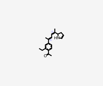 CCc1cc(/C(C)=C/C=C(/C)C2CC=CN2)ccc1C(C)=O